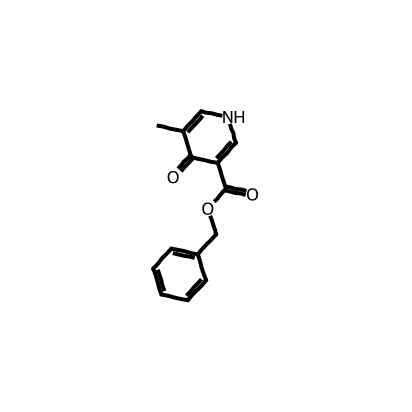 Cc1c[nH]cc(C(=O)OCc2ccccc2)c1=O